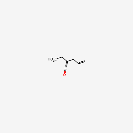 C=CCC(=C=O)CC(=O)O